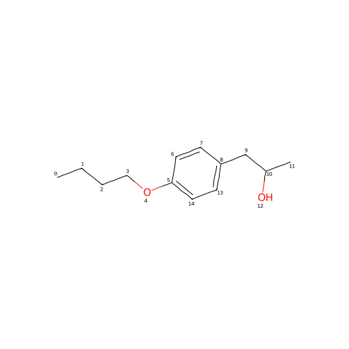 CCCCOc1ccc(CC(C)O)cc1